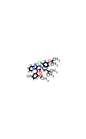 COc1ccc(Br)cc1Cc1c(C[N+](C=O)(CCC(C)C)c2ccc(OC(C)C)cc2Cl)nc2ccccn12